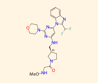 CONCC(=O)N1CC[C@H](CNc2cc(-n3c(C(F)F)nc4ccccc43)nc(N3CCOCC3)n2)C1